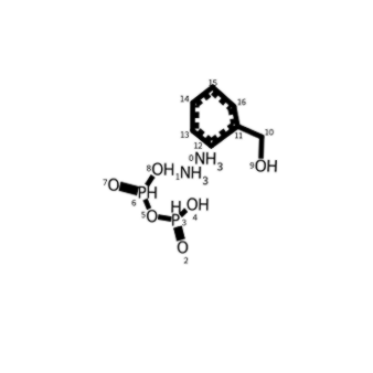 N.N.O=[PH](O)O[PH](=O)O.OCc1ccccc1